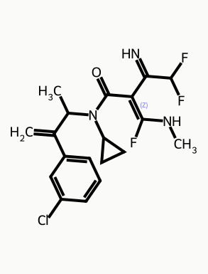 C=C(c1cccc(Cl)c1)C(C)N(C(=O)/C(C(=N)C(F)F)=C(\F)NC)C1CC1